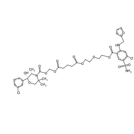 C[C@@H]1N(C(=O)OCOC(=O)CCCC(=O)OCCOCCOC(=O)c2cc(S(N)(=O)=O)c(Cl)cc2NCc2ccco2)C(C)(C)CO[C@@]1(O)c1cccc(Cl)c1